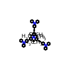 CC1(C)c2cc(C#Cc3ccc(N(c4ccccc4)c4ccccc4)cc3)cc3c2N2c4c1cc(C#Cc1ccc(N(c5ccccc5)c5ccccc5)cc1)cc4C(C)(C)c1cc(-c4ccc(N(c5ccccc5)c5ccccc5)cc4)cc(c12)C3(C)C